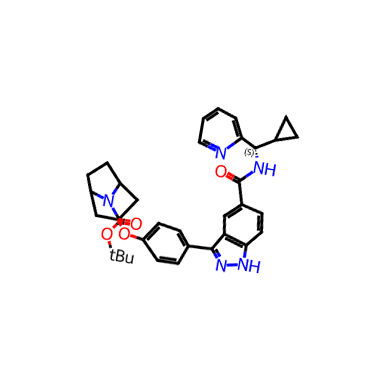 CC(C)(C)OC(=O)N1C2CCC1CC(Oc1ccc(-c3n[nH]c4ccc(C(=O)N[C@H](c5ccccn5)C5CC5)cc34)cc1)C2